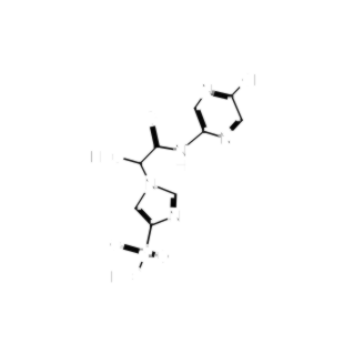 Cc1cnc(NC(=O)C(C)n2cnc(S(C)(=O)=O)c2)cn1